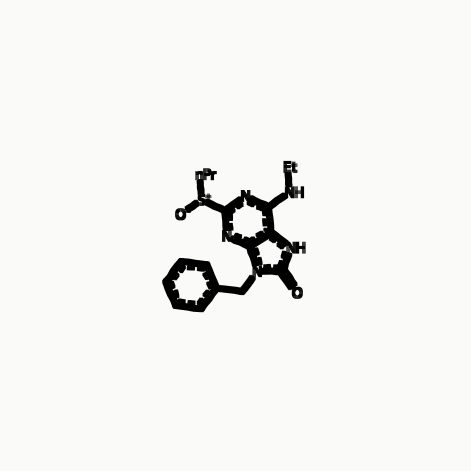 CCC[S+]([O-])c1nc(NCC)c2[nH]c(=O)n(Cc3ccccc3)c2n1